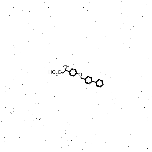 CC(CC(=O)O)c1ccc(OCc2ccc(-c3ccccc3)cc2)cc1